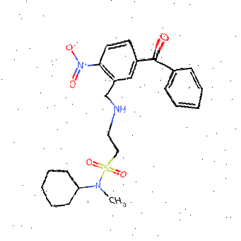 CN(C1CCCCC1)S(=O)(=O)CCNCc1cc(C(=O)c2ccccc2)ccc1[N+](=O)[O-]